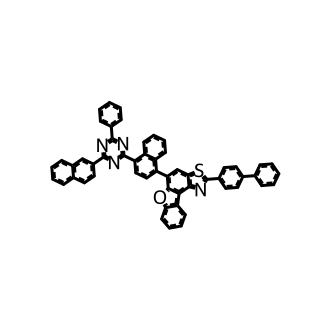 c1ccc(-c2ccc(-c3nc4c(cc(-c5ccc(-c6nc(-c7ccccc7)nc(-c7ccc8ccccc8c7)n6)c6ccccc56)c5oc6ccccc6c54)s3)cc2)cc1